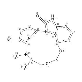 C[C@H]1CCCOc2ccnc3[nH]c(=O)n(c23)-c2ccc(C#N)c(n2)N1C